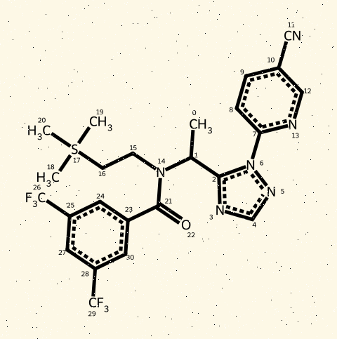 CC(c1ncnn1-c1ccc(C#N)cn1)N(CCS(C)(C)C)C(=O)c1cc(C(F)(F)F)cc(C(F)(F)F)c1